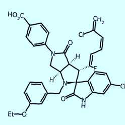 C=C(Cl)/C=C\C=C(/F)[C@H]1[C@@H]2C(=O)N(c3ccc(C(=O)O)cc3)C[C@@H]2N(Cc2cccc(OCC)c2)[C@@]12C(=O)Nc1cc(Cl)ccc12